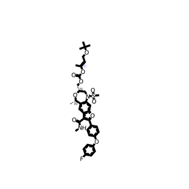 CNC(=O)c1c(-c2ccc(Oc3ccc(F)cc3)cc2)oc2cc3c(cc12)[C@H](C)O[C@H](COC(=O)O/C(C)=C/COC(C)(C)C)CN3S(C)(=O)=O